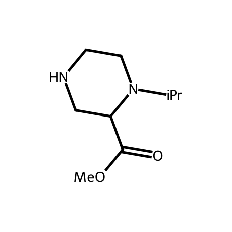 COC(=O)C1CNCCN1C(C)C